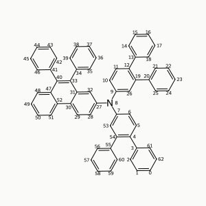 c1ccc(-c2ccc(N(c3ccc(-c4ccccc4)c(-c4ccccc4)c3)c3ccc4c(c3)c(-c3ccccc3)c(-c3ccccc3)c3ccccc34)cc2-c2ccccc2)cc1